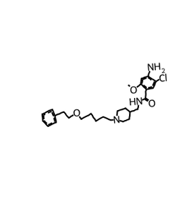 COc1cc(N)c(Cl)cc1C(=O)NCC1CCN(CCCCCOCCc2ccccc2)CC1